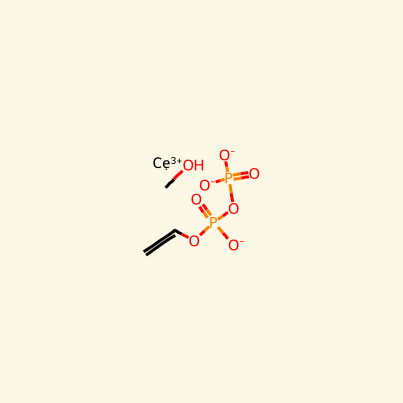 C=COP(=O)([O-])OP(=O)([O-])[O-].CO.[Ce+3]